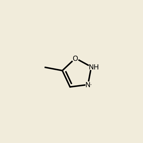 CC1=C[N]NO1